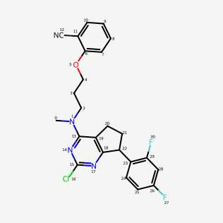 CN(CCCOc1ccccc1C#N)c1nc(Cl)nc2c1CCC2c1ccc(F)cc1F